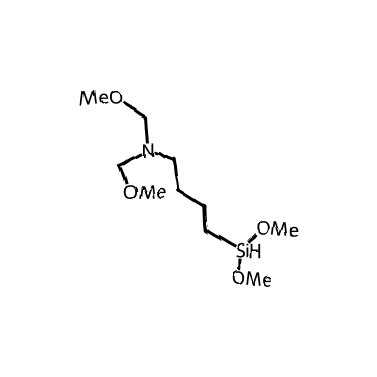 COCN(CCCC[SiH](OC)OC)COC